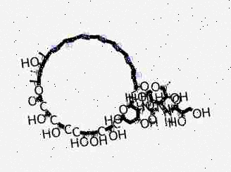 C[C@@H]1[C@H](O)[C@@H](C)/C=C/C=C/C=C/C=C/C=C/C=C/C=C/[C@H](O[C@]2(O)O[C@H](C)[C@@H](O)[C@H](N)[C@@H]2O)C[C@@H]2O[C@](O)(C[C@@H](O)C[C@@H](O)[C@H](O)CC[C@@H](O)C[C@@H](O)CC(=O)O[C@H]1C)C[C@H](O)[C@H]2NC(=O)NNC(=O)[C@H](O)CO